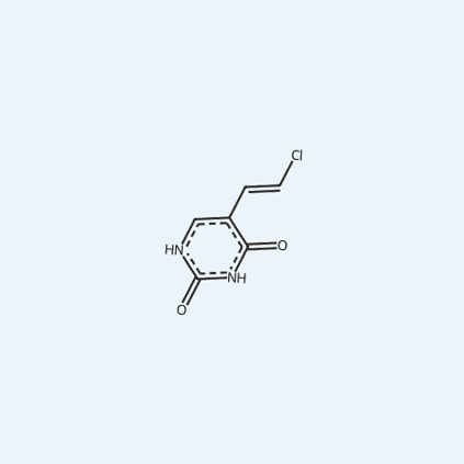 O=c1[nH]cc(C=CCl)c(=O)[nH]1